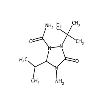 CC(C)C1N(N)C(=O)N(C(C)(C)C)N1C(N)=O